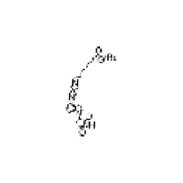 CC(C)(C)OC(=O)CCCCCCCN1CC2(C1)CN(c1cccc3c1CCN3C1CCC(=O)NC1=O)C2